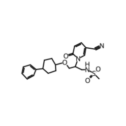 CS(=O)(=O)NCC(COC1CCC(c2ccccc2)CC1)n1cc(C#N)ccc1=O